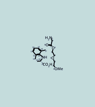 COCCOCCOC(=O)CN.Cc1cccc(C)c1N[C@@H](C)C(=O)O